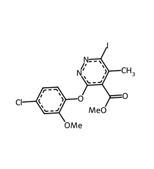 COC(=O)c1c(Oc2ccc(Cl)cc2OC)nnc(I)c1C